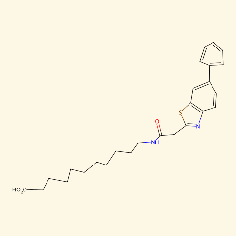 O=C(O)CCCCCCCCCCNC(=O)Cc1nc2ccc(-c3ccccc3)cc2s1